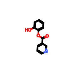 O=C(Oc1ccccc1O)c1cccnc1